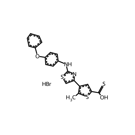 Br.Cc1sc(C(O)=S)cc1-c1csc(Nc2ccc(Oc3ccccc3)cc2)n1